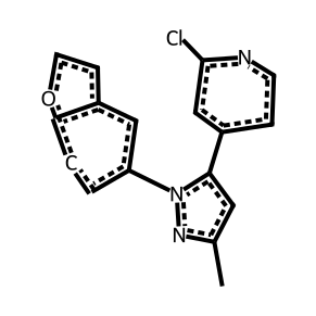 Cc1cc(-c2ccnc(Cl)c2)n(-c2ccc3occc3c2)n1